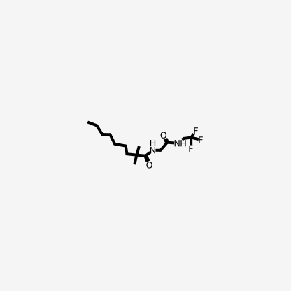 CCCCCCCC(C)(C)C(=O)NCC(=O)NCC(F)(F)F